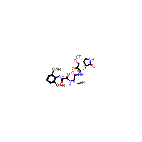 COc1cccc(OC)c1NC(=O)C(=O)N[C@@H](CC(C)C)C(=O)N[C@@H](C[C@@H]1CCNC1=O)C(=O)COC(F)(F)F